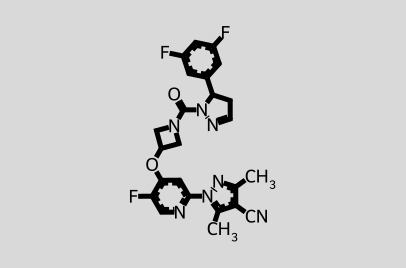 Cc1nn(-c2cc(OC3CN(C(=O)N4N=CCC4c4cc(F)cc(F)c4)C3)c(F)cn2)c(C)c1C#N